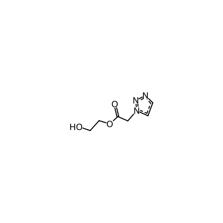 O=C(Cn1ccnn1)OCCO